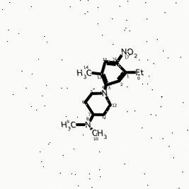 CCc1cc(N2CCC(N(C)C)CC2)c(C)cc1[N+](=O)[O-]